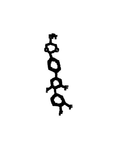 CCCC1COC(c2ccc(-c3cc(F)c(-c4ccc(F)c(F)c4)c(F)c3)cc2)OC1